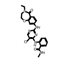 CCN1CCOc2cc(Nc3ncc(Cl)c(Nc4ccccc4C(=O)NC)n3)ccc2C1=O